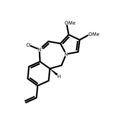 C=CC1=CC=C2[C@@H](C1)Cn1cc(OC)c(OC)c1C=[N+]2[O-]